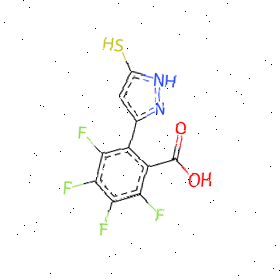 O=C(O)c1c(F)c(F)c(F)c(F)c1-c1cc(S)[nH]n1